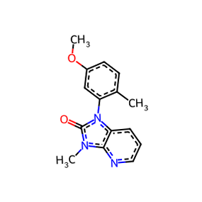 COc1ccc(C)c(-n2c(=O)n(C)c3ncccc32)c1